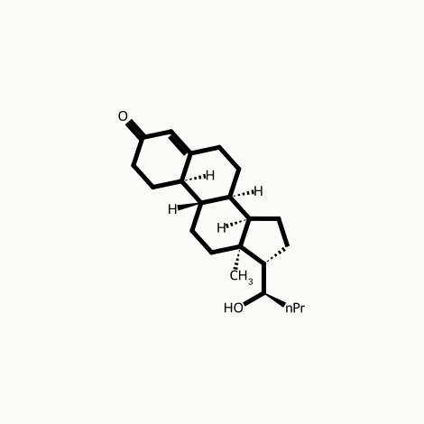 CCC[C@@H](O)[C@H]1CC[C@@H]2[C@@H]3CCC4=CC(=O)CC[C@@H]4[C@H]3CC[C@@]21C